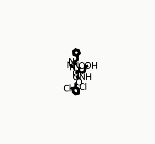 O=C(O)CC(NC(=O)OCc1c(Cl)cccc1Cl)C(=O)Cn1nnnc1Cc1ccccc1